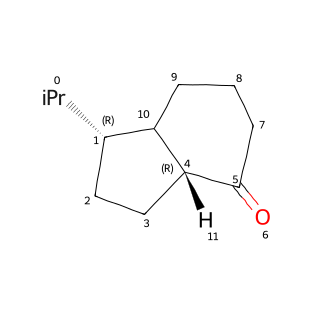 CC(C)[C@H]1CC[C@H]2C(=O)CCCC12